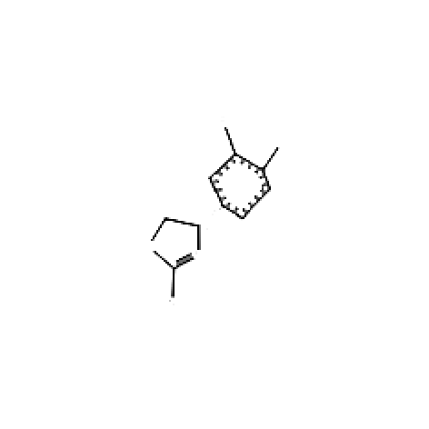 NC1=N[C@@H](c2ccc(F)c(F)c2)CO1